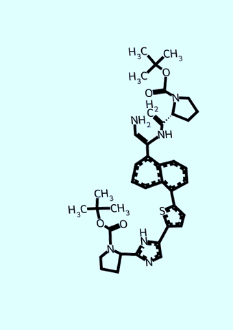 C=C(N/C(=C\N)c1cccc2c(-c3ccc(-c4cnc(C5CCCN5C(=O)OC(C)(C)C)[nH]4)s3)cccc12)[C@H]1CCCN1C(=O)OC(C)(C)C